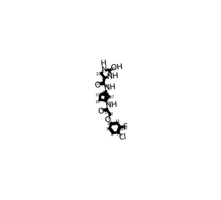 O=C(COc1ccc(Cl)c(F)c1)NC12CC(C1)C(NC(=O)C1CNC(O)N1)C2